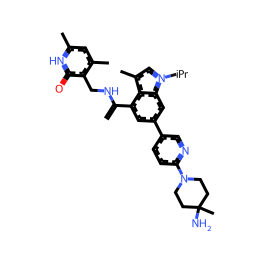 C=C(NCc1c(C)cc(C)[nH]c1=O)c1cc(-c2ccc(N3CCC(C)(N)CC3)nc2)cc2c1c(C)cn2C(C)C